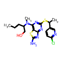 CCCC(CO)N(C)c1nc(SC(C)c2ccc(Cl)nc2)nc2nc(N)sc12